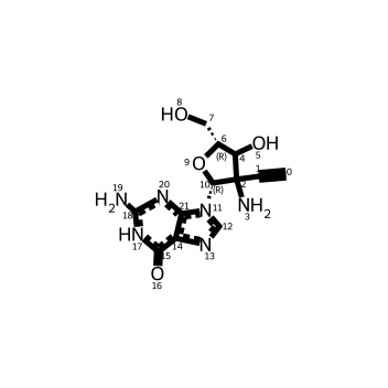 C#CC1(N)C(O)[C@@H](CO)O[C@H]1n1cnc2c(=O)[nH]c(N)nc21